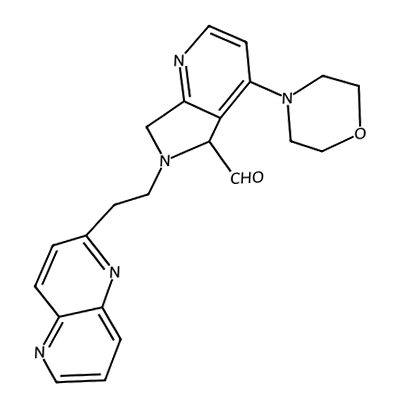 O=CC1c2c(N3CCOCC3)ccnc2CN1CCc1ccc2ncccc2n1